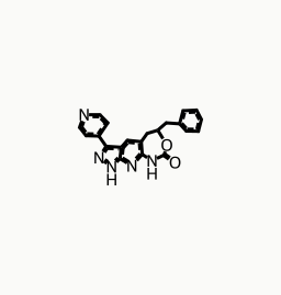 O=C1Nc2nc3[nH]nc(-c4ccncc4)c3cc2CC(Cc2ccccc2)O1